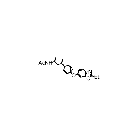 CCc1nc2ccc(OC3=NCC(C(C)C[C@H](C)NC(C)=O)C=C3)cc2o1